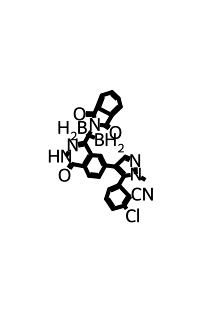 BC(B)(c1n[nH]c(=O)c2ccc(-c3cnn(C)c3-c3cccc(Cl)c3C#N)cc12)N1C(=O)c2ccccc2C1=O